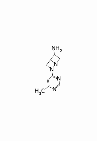 Cc1cc(N2CC3C(N)CN32)ncn1